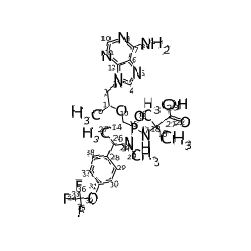 CC(Cn1cnc2c(N)ncnc21)OCP(=O)(NC(C)(C)C(=O)O)N(C)C(C)c1ccc(OC(F)(F)F)cc1